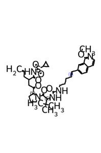 C=CCC(CC(=O)[C@@H]1CCCN1C(=O)[C@@H](NC(=O)NCCC/C=C/c1ccc2ccnc(OC)c2c1)C(C)(C)C)C(=O)NS(=O)(=O)C1CC1